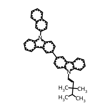 CC(C)C(C)(C)/C=C/n1c2ccccc2c2cc(-c3ccc4c(c3)c3ccccc3n4-c3ccc4ccccc4c3)ccc21